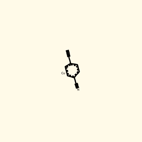 [C]#Cc1ccc(C#N)cc1.[Cu]